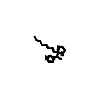 CCCCCCCCC1(C(C)n2ccnc2)SCCS1